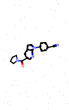 N#Cc1ccc(-n2ccc3cc(C(=O)N4CCCC4)cnc32)cc1